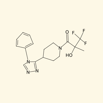 CC(O)(C(=O)N1CCC(c2nncn2-c2ccccc2)CC1)C(F)(F)F